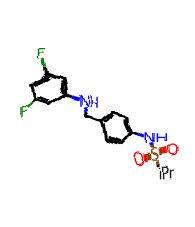 CC(C)S(=O)(=O)Nc1ccc(CNc2cc(F)cc(F)c2)cc1